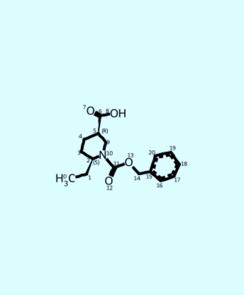 CC[C@H]1CC[C@@H](C(=O)O)CN1C(=O)OCc1ccccc1